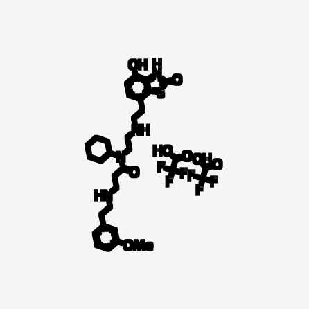 COc1cccc(CCNCCC(=O)N(CCNCCc2ccc(O)c3[nH]c(=O)sc23)C2CCCCC2)c1.O=C(O)C(F)(F)F.O=C(O)C(F)(F)F